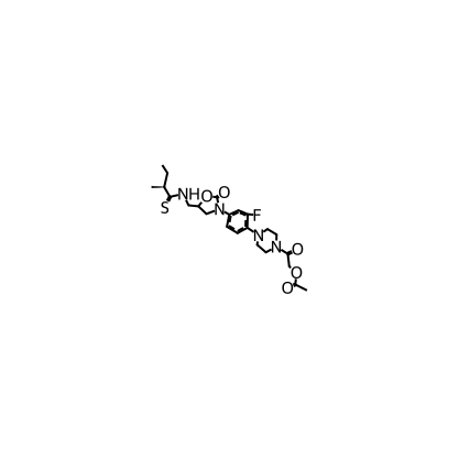 CC[C@H](C)C(=S)NCC1CN(c2ccc(N3CCN(C(=O)COC(C)=O)CC3)c(F)c2)C(=O)O1